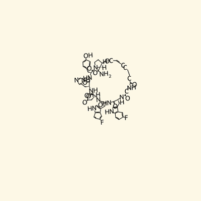 NC(=O)[C@@H]1[C@H]2CCN1C(=O)[C@H](Cc1ccc(O)cc1)NC(=O)[C@H](Cc1cnc[nH]1)NC(=O)[C@H](CC(=O)O)NC(=O)[C@H](Cc1c[nH]c3ccc(F)cc13)NC(=O)[C@H](Cc1c[nH]c3ccc(F)cc13)NC(=O)CNC(=O)CCCCC/C=C\CO2